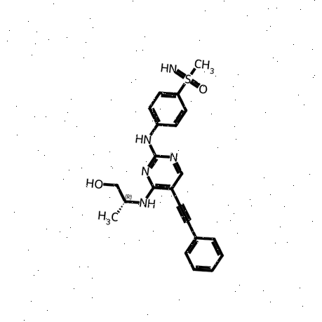 C[C@H](CO)Nc1nc(Nc2ccc(S(C)(=N)=O)cc2)ncc1C#Cc1ccccc1